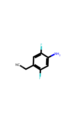 N#CCc1cc(F)c(N)cc1F